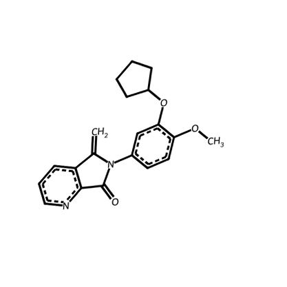 C=C1c2cccnc2C(=O)N1c1ccc(OC)c(OC2CCCC2)c1